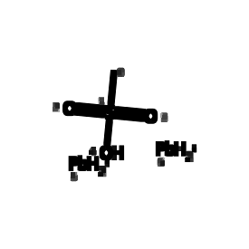 CS(=O)(=O)O.[PbH2].[PbH2]